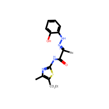 CCOC(=O)c1sc(NC(=O)/C(=N/Nc2ccccc2O)C(C)=O)nc1C